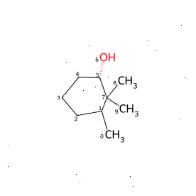 CC1CCC[C@H](O)C1(C)C